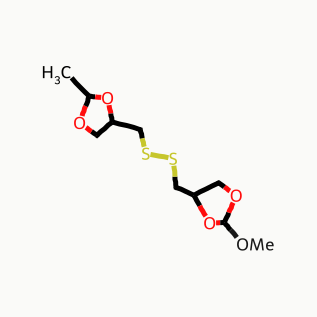 COC1OCC(CSSCC2COC(C)O2)O1